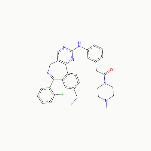 CN1CCN(C(=O)Cc2cccc(Nc3ncc4c(n3)-c3ccc(CI)cc3C(c3ccccc3F)=NC4)c2)CC1